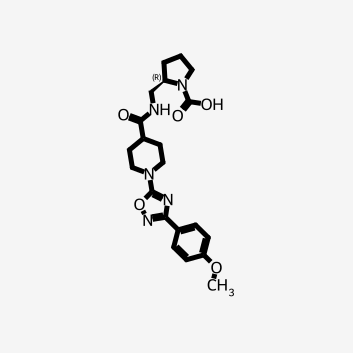 COc1ccc(-c2noc(N3CCC(C(=O)NC[C@H]4CCCN4C(=O)O)CC3)n2)cc1